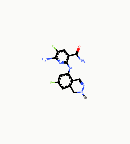 CCN1Cc2cc(F)cc(Nc3nc(N)c(F)cc3C(N)=O)c2C=N1